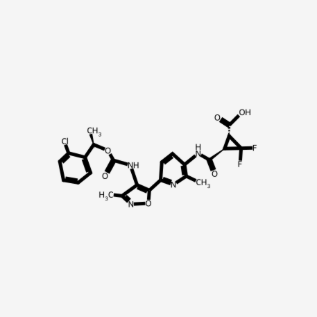 Cc1nc(-c2onc(C)c2NC(=O)O[C@H](C)c2ccccc2Cl)ccc1NC(=O)[C@H]1[C@H](C(=O)O)C1(F)F